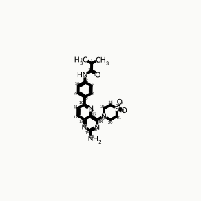 CC(C)C(=O)Nc1ccc(-c2ccc3nc(N)nc(N4CCS(=O)(=O)CC4)c3n2)cc1